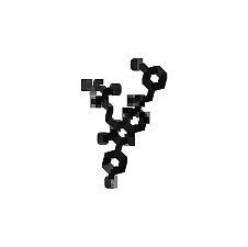 CC(=O)NCCn1c(=O)c(-c2ccc(Cl)cc2)nc2cnc(NCc3cccc(Cl)c3)nc21